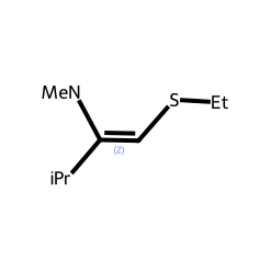 CCS/C=C(\NC)C(C)C